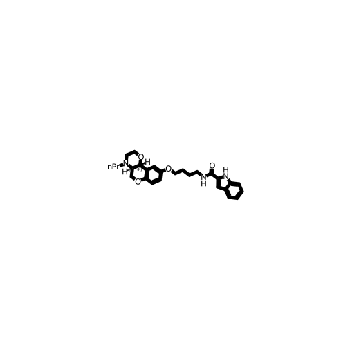 CCCN1CCO[C@@H]2c3cc(OCCCCNC(=O)c4cc5ccccc5[nH]4)ccc3OC[C@H]21